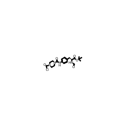 CC(C)(C)OC(=O)[C@H](Cc1ccc(NC(=O)N2CCN(C(=O)Cl)CC2)cc1)NC=O